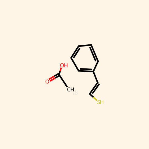 CC(=O)O.SC=Cc1ccccc1